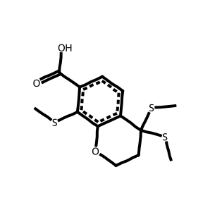 CSc1c(C(=O)O)ccc2c1OCCC2(SC)SC